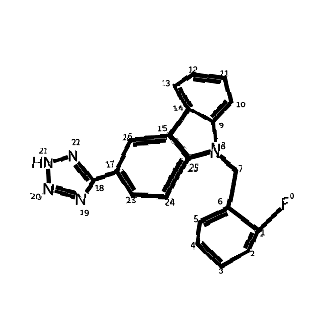 Fc1ccccc1Cn1c2ccccc2c2cc(-c3nn[nH]n3)ccc21